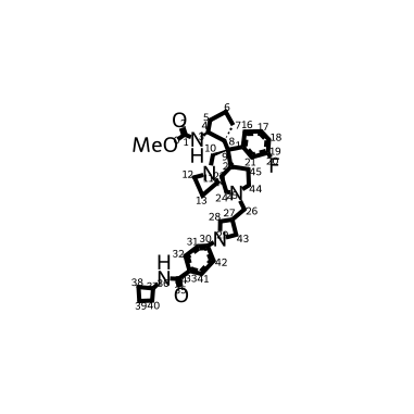 COC(=O)N[C@H]1CCC[C@@H]1[C@](CN1CCC1)(c1cccc(F)c1)C1CCN(CC2CN(c3ccc(C(=O)NC4CCC4)cc3)C2)CC1